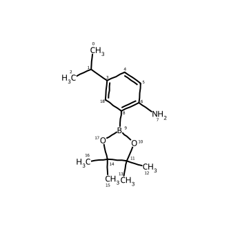 CC(C)c1ccc(N)c(B2OC(C)(C)C(C)(C)O2)c1